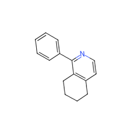 c1ccc(-c2nccc3c2CCCC3)cc1